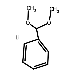 COC(OC)c1ccccc1.[Li]